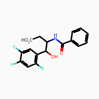 O=C(O)CC(NC(=O)c1ccccc1)C(O)c1cc(F)c(F)cc1F